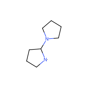 C1C[N]C(N2CCCC2)C1